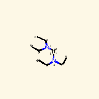 CC[N](CC)[Hf][N](CC)CC